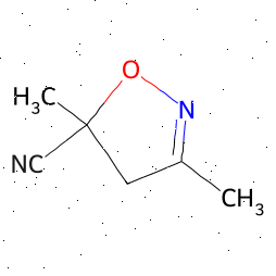 CC1=NOC(C)(C#N)C1